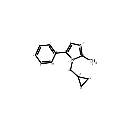 Cc1ncc(-c2ccccc2)n1CC1CC1